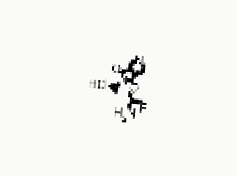 Cl.NCC(=CF)COC1c2ccncc2C(=O)N1C1CC1